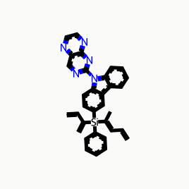 C=C/C=C(\C)[Si](C(=C)C=C)(c1ccccc1)c1ccc2c(c1)c1ccccc1n2-c1ncc2nccnc2n1